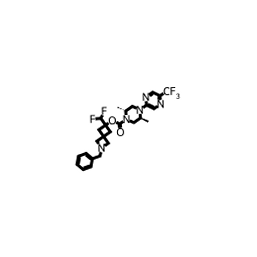 C[C@@H]1CN(c2cnc(C(F)(F)F)cn2)[C@@H](C)CN1C(=O)OC1(C(F)F)CC2(CN(Cc3ccccc3)C2)C1